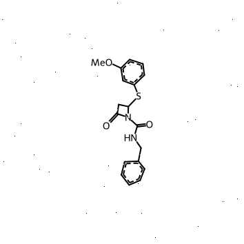 COc1cccc(SC2CC(=O)N2C(=O)NCc2ccccc2)c1